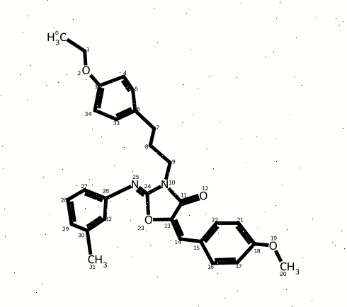 CCOc1ccc(CCCN2C(=O)/C(=C\c3ccc(OC)cc3)O/C2=N\c2cccc(C)c2)cc1